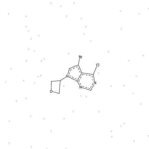 Clc1ncnc2c1c(Br)cn2C1COC1